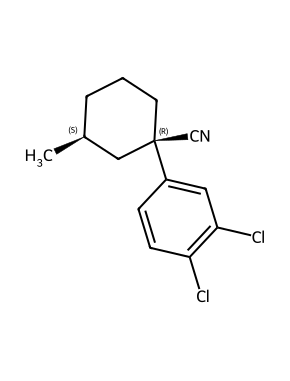 C[C@H]1CCC[C@](C#N)(c2ccc(Cl)c(Cl)c2)C1